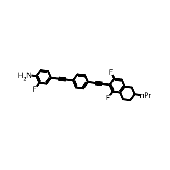 CCCC1CCc2c(cc(F)c(C#Cc3ccc(C#Cc4ccc(N)c(F)c4)cc3)c2F)C1